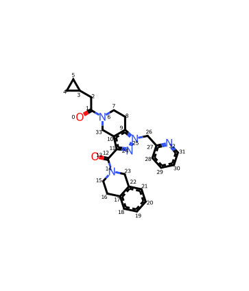 O=C(CC1CC1)N1CCc2c(c(C(=O)N3CCc4ccccc4C3)nn2Cc2ccccn2)C1